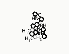 Cc1cc2c(cc1N1c3c(c(-c4cccc5c4Nc4ccccc4O5)cc4ccccc34)Bc3ccc4c(oc5ccccc54)c31)C(C)(C)CCC2(C)C